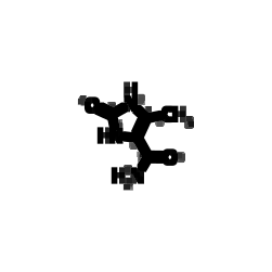 Cc1[nH]c(=O)[nH]c1C(N)=O